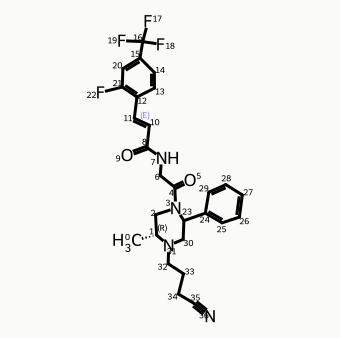 C[C@@H]1CN(C(=O)CNC(=O)/C=C/c2ccc(C(F)(F)F)cc2F)C(c2ccccc2)CN1CCCC#N